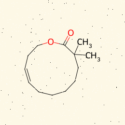 CC1(C)CCCCCC=CCCOC1=O